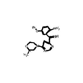 CC(C)Oc1ccc(N)c(C(=N)c2cc(N3CCO[C@H](C)C3)ncn2)c1